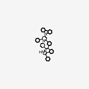 C1=CCC(C2=C(c3cccc(C4=NC(c5ccccc5)CC(n5c6ccccc6c6ccccc65)=C4)c3)c3ccccc3C3=C(c4ccccc4)CNN32)C=C1